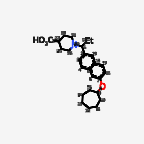 CCC(c1ccc2cc(OC3CCCCCC3)ccc2c1)N1CCC(C(=O)O)CC1